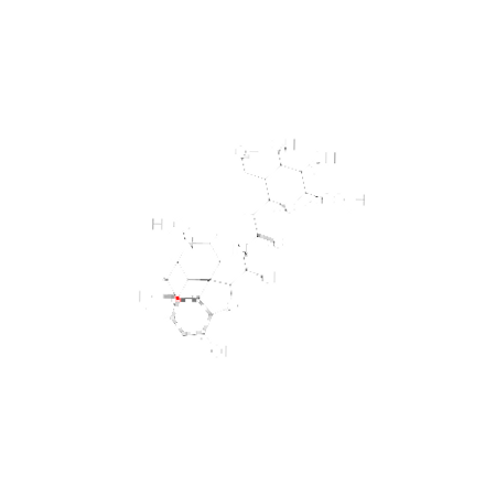 C=CC1C2Cc3ccc(O)c4c3C1(CCN2C)C(C(C)NC(=O)CC1OC(C(=O)O)C(O)C(O)C1CO)O4